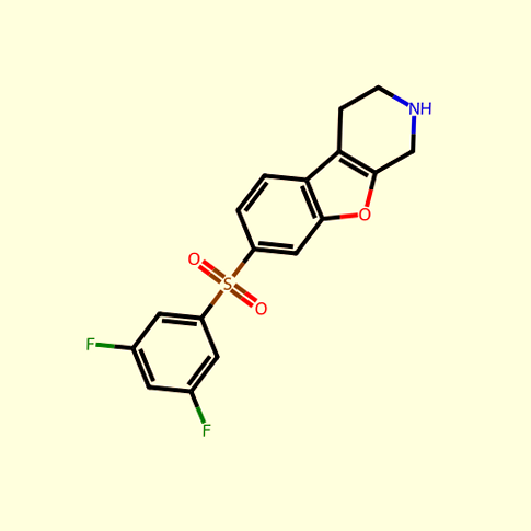 O=S(=O)(c1cc(F)cc(F)c1)c1ccc2c3c(oc2c1)CNCC3